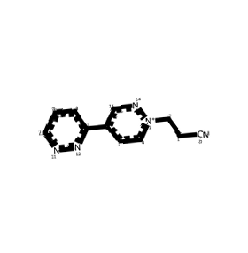 N#CCC[n+]1ccc(-c2cccnn2)cn1